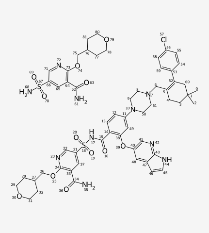 CC1(C)CCC(CN2CCN(c3ccc(C(=O)NS(=O)(=O)c4cnc(OCC5CCOCC5)c(C(N)=O)c4)c(Oc4cnc5[nH]ccc5c4)c3)CC2)=C(c2ccc(Cl)cc2)C1.NC(=O)c1cc(S(N)(=O)=O)cnc1OCC1CCOCC1